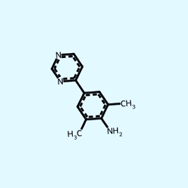 Cc1cc(-c2ccncn2)cc(C)c1N